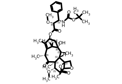 CO[C@H]1CC2OC[C@@]2(OC(C)=O)[C@H]2[C@H](C)[C@]3(O)C[C@H](OC(=O)[C@H](OC)[C@@H](NC(=O)OC(C)(C)C)c4ccccc4)C(C)=C([C@@H](C)C(=O)[C@]12C)C3(C)C